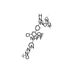 C[C@H]1C[C@@H](c2nc(-c3ccc(-c4cc(Cl)c(NCc5ccc(N6CCN(C(=O)C(C)(C)C)C[C@H]6C)nc5)cc4OC(F)(F)F)cc3)c[nH]2)N(C(=O)OC(C)(C)C)C1